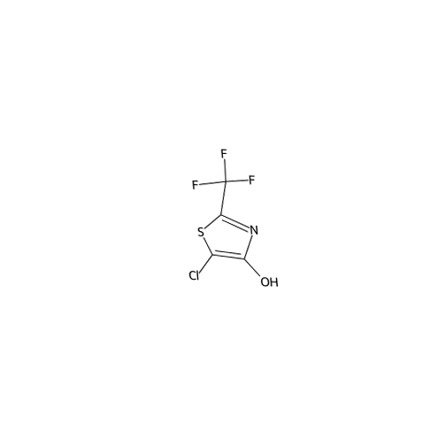 Oc1nc(C(F)(F)F)sc1Cl